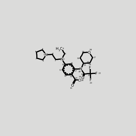 CCN(CCN1CCCC1)c1ccc(C(=O)Cl)c(N(C(=O)C(F)(F)F)C2CCOCC2)c1